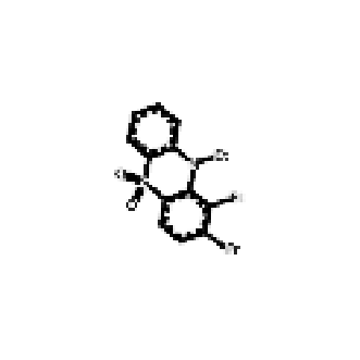 CCc1c(C(C)C)ccc2c1N(CC)c1ccccc1S2(=O)=O